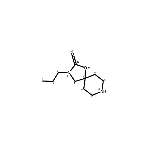 CCCN1CC2(CCNCC2)OC1=O